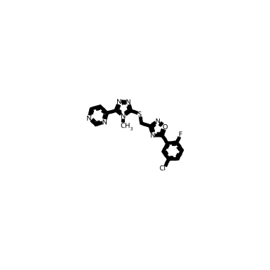 Cn1c(SCc2noc(-c3cc(Cl)ccc3F)n2)nnc1-c1ccncn1